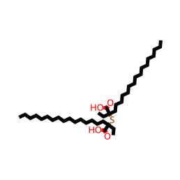 CCCCCCCCCCCCCCCCC(CC)(SC(CC)(CCCCCCCCCCCCCCCC)C(=O)O)C(=O)O